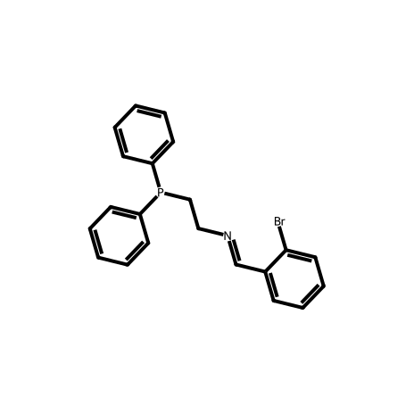 Brc1ccccc1C=NCCP(c1ccccc1)c1ccccc1